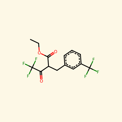 CCOC(=O)C(Cc1cccc(C(F)(F)F)c1)C(=O)C(F)(F)F